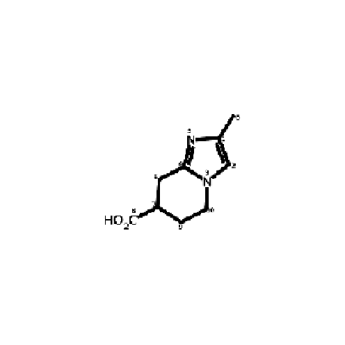 Cc1cn2c(n1)CC(C(=O)O)CC2